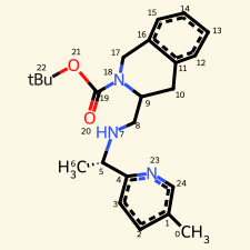 Cc1ccc([C@H](C)NCC2Cc3ccccc3CN2C(=O)OC(C)(C)C)nc1